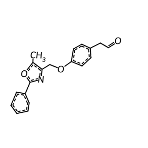 Cc1oc(-c2ccccc2)nc1COc1ccc(CC=O)cc1